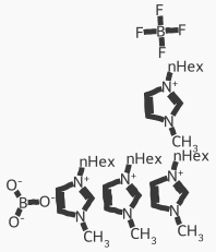 CCCCCC[n+]1ccn(C)c1.CCCCCC[n+]1ccn(C)c1.CCCCCC[n+]1ccn(C)c1.CCCCCC[n+]1ccn(C)c1.F[B-](F)(F)F.[O-]B([O-])[O-]